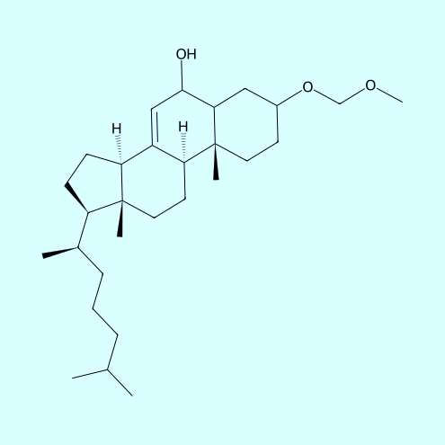 COCOC1CC[C@@]2(C)C(C1)C(O)C=C1[C@@H]3CC[C@H]([C@H](C)CCCC(C)C)[C@@]3(C)CC[C@@H]12